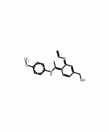 C=C/N=C1/C=C(CO)C=C/C1=C(/C)Nc1ccc(OC(F)(F)F)cc1